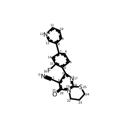 N#Cc1c(-c2ccc(-c3cccnc3)cc2F)nc2n(c1=O)CCCS2